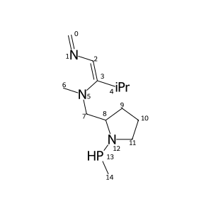 C=N/C=C(/C(C)C)N(C)CC1CCCN1PC